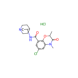 CC1Oc2c(C(=O)NC3CN4CCC3CC4)cc(Cl)cc2N(C)C1=O.Cl